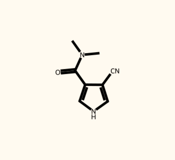 CN(C)C(=O)c1c[nH]cc1C#N